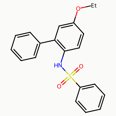 CCOc1ccc(NS(=O)(=O)c2ccccc2)c(-c2ccccc2)c1